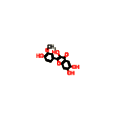 COc1cc(-c2oc3cc(O)c(O)cc3c(=O)c2O)ccc1O